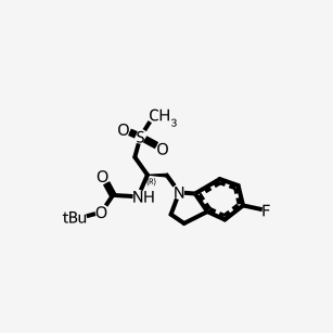 CC(C)(C)OC(=O)N[C@H](CN1CCc2cc(F)ccc21)CS(C)(=O)=O